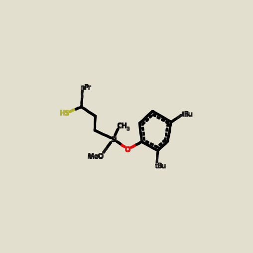 CCCC(S)CC[Si](C)(OC)Oc1ccc(C(C)(C)C)cc1C(C)(C)C